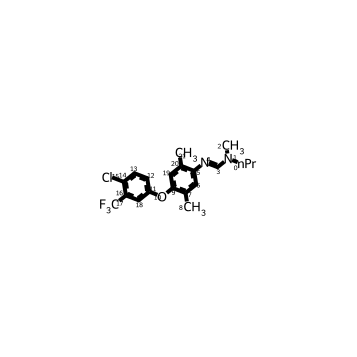 CCCN(C)/C=N/c1cc(C)c(Oc2ccc(Cl)c(C(F)(F)F)c2)cc1C